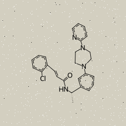 C[C@H](NC(=O)C=Cc1ccccc1Cl)c1cccc(N2CCN(c3ccccn3)CC2)c1